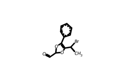 CC(Br)C1=C(c2ccccc2)OC(C=O)O1